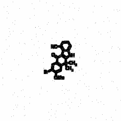 COc1cc2c(cc1Br)C(=O)c1c([nH]c3cccc(C#N)c13)C2(C)C